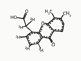 [2H]c1c([2H])c([2H])c2c(=O)c3ccc(C)c(C)c3oc2c1C([2H])([2H])C(=O)O